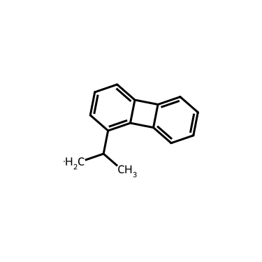 [CH2]C(C)c1cccc2c1-c1ccccc1-2